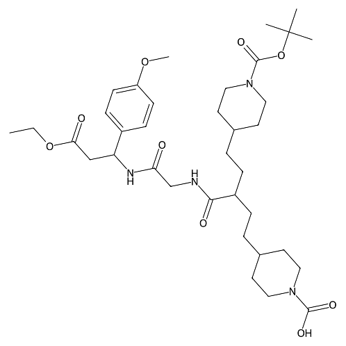 CCOC(=O)CC(NC(=O)CNC(=O)C(CCC1CCN(C(=O)O)CC1)CCC1CCN(C(=O)OC(C)(C)C)CC1)c1ccc(OC)cc1